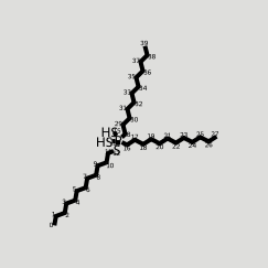 CCCCCCCCCCCCSP(S)(S)(CCCCCCCCCCCC)CCCCCCCCCCCC